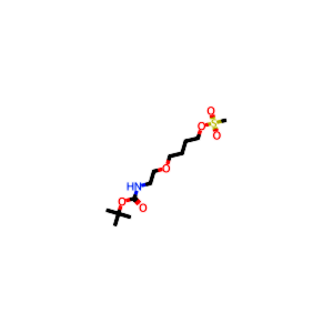 CC(C)(C)OC(=O)NCCOCCCCOS(C)(=O)=O